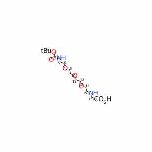 CC(C)(C)OC(=O)NCCOCCOCCOCCNCC(=O)O